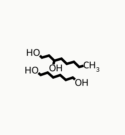 CCCCCC(O)CCO.OCCCCCCO